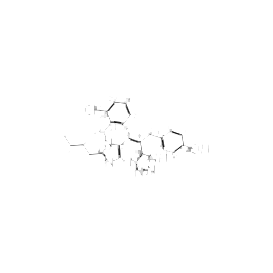 CCCCc1ncc(/C=C(/Cc2ccc(O)cc2)c2nnn[nH]2)n1Cc1ccccc1Cl